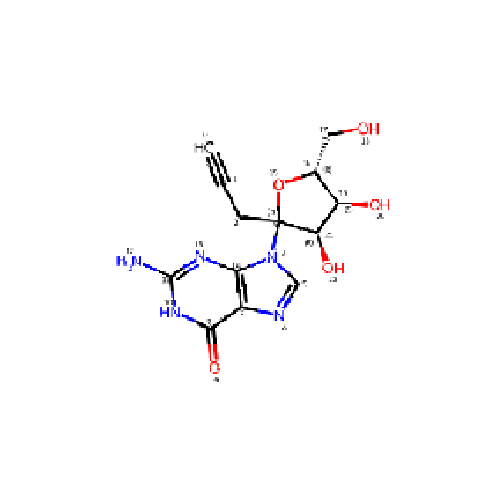 C#CC[C@@]1(n2cnc3c(=O)[nH]c(N)nc32)O[C@H](CO)[C@@H](O)[C@H]1O